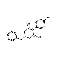 Oc1ccc([C@@H]2[C@H](O)CN(Cc3ccccc3)C[C@@H]2O)cc1